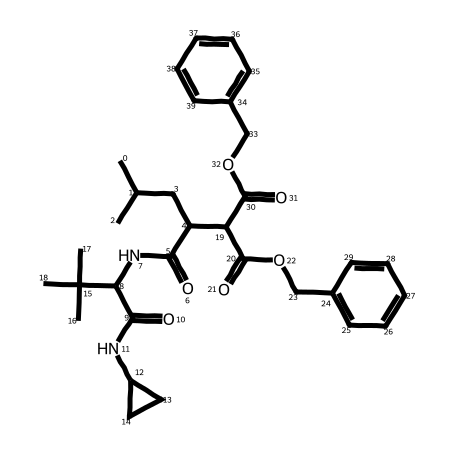 CC(C)CC(C(=O)NC(C(=O)NC1CC1)C(C)(C)C)C(C(=O)OCc1ccccc1)C(=O)OCc1ccccc1